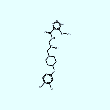 CSc1[nH]nnc1C(=O)NC[C@@H](O)CN1CCC(Oc2ccc(Cl)c(Cl)c2)CC1